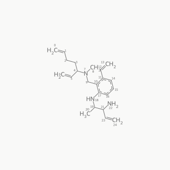 C=CCCC(C=C)N(C)Cc1c(C=C)cccc1NC(C)C(N)C=C